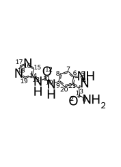 NC(=O)c1n[nH]c2ccc(NC(=O)Nc3cncnc3)cc12